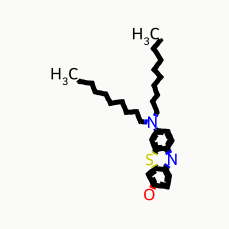 CCCCCCCCCCN(CCCCCCCCCC)c1ccc2nc3ccc(=O)cc-3sc2c1